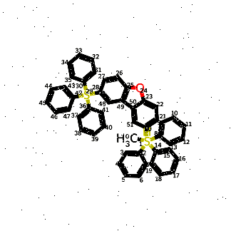 C[SH](c1ccccc1)(c1ccccc1)(c1ccccc1)c1ccc2oc3ccc(S(c4ccccc4)(c4ccccc4)c4ccccc4)cc3c2c1